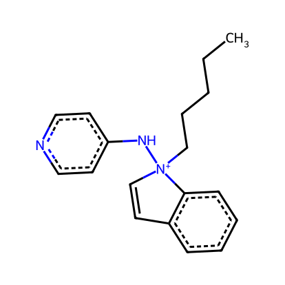 CCCCC[N+]1(Nc2ccncc2)C=Cc2ccccc21